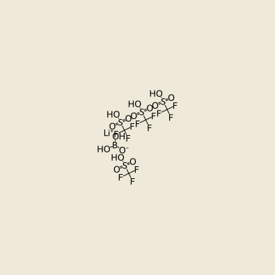 O=S(=O)(O)C(F)(F)F.O=S(=O)(O)C(F)(F)F.O=S(=O)(O)C(F)(F)F.O=S(=O)(O)C(F)(F)F.[Li+].[O-]B(O)O